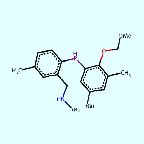 COCOc1c(C)cc(C(C)(C)C)cc1Pc1ccc(C)cc1CNC(C)(C)C